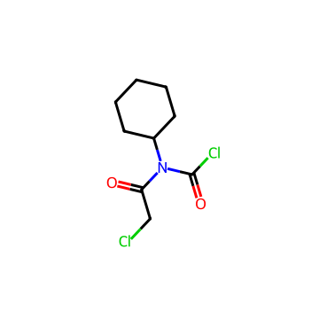 O=C(Cl)N(C(=O)CCl)C1CCCCC1